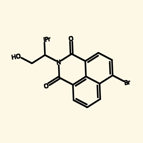 CC(C)C(CO)N1C(=O)c2cccc3c(Br)ccc(c23)C1=O